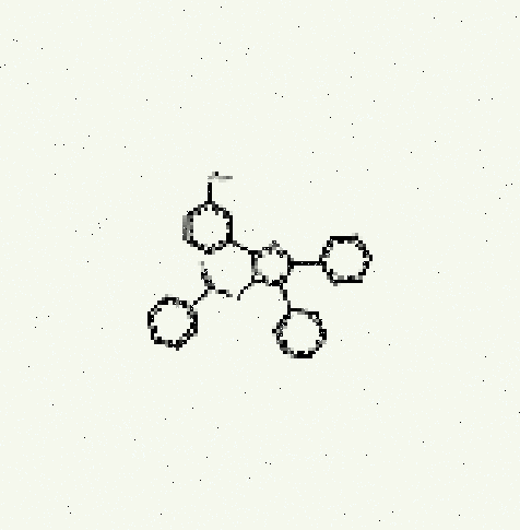 CNc1cccc(-c2nc(-c3ccccc3)c(-c3ccccc3)n2OC(=O)c2ccccc2)c1